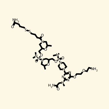 CC1CN(C(=O)CCCSSCCCC(N)=O)CC(COP(=O)(N(C)C)N2CC(C)OC(COP(=O)(N(C)C)N3CCN(c4nc(OCCOCCN)nc(N(C)CC(N)=O)n4)CC3)C2)O1